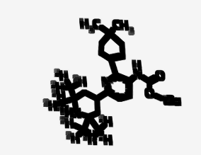 [2H]C([2H])([2H])C1(C([2H])([2H])[2H])CC(c2ccc(NC(=O)OC(C)(C)C)c(C3=CCC(C)(C)CC3)n2)CC(C([2H])([2H])[2H])(C([2H])([2H])[2H])N1